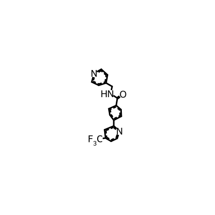 O=C(NCc1ccncc1)c1ccc(-c2cc(C(F)(F)F)ccn2)cc1